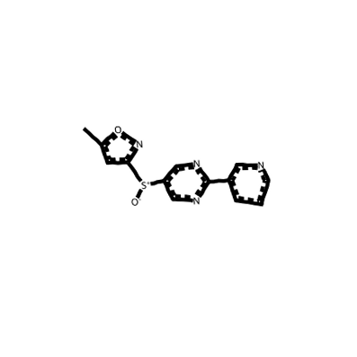 Cc1cc([S+]([O-])c2cnc(-c3cccnc3)nc2)no1